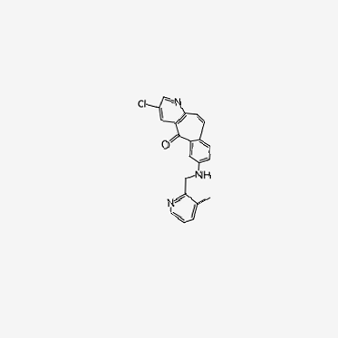 Cc1cccnc1CNc1ccc2ccc3ncc(Cl)cc3c(=O)c2c1